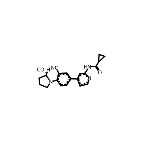 N#Cc1cc(-c2ccnc(NC(=O)C3CC3)c2)ccc1N1CCCC1C(=O)O